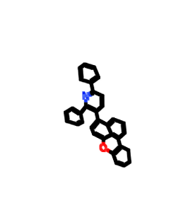 C1=CC2=C(CC1)c1cccc3c(-c4ccc(-c5ccccc5)nc4-c4ccccc4)ccc(c13)O2